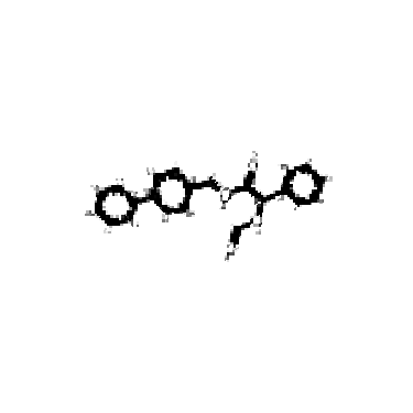 O=[C]OC(C(=O)OCc1ccc(-c2ccccc2)cc1)c1ccccc1